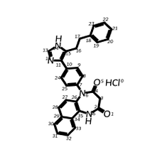 Cl.O=C1CC(=O)N(c2ccc(-c3nc[nH]c3CCc3ccccc3)cc2)c2ccc3ccccc3c2N1